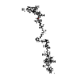 CC(C)(CCCCCc1ccccc1CCCCCC1(C(=O)CCNC(=O)CCNC(=O)C(O)C(C)(C)COP(=O)(O)OP(=O)(O)OCC2OC(n3cnc4c(N)ncnc43)C(O)C2OP(=O)(O)O)CC1)C(=O)CCNC(=O)CCNC(=O)C(O)C(C)(C)COP(=O)(O)OP(=O)(O)OCC1OC(n2cnc3c(N)ncnc32)C(O)C1OP(=O)(O)O